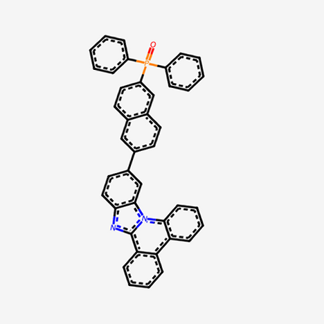 O=P(c1ccccc1)(c1ccccc1)c1ccc2cc(-c3ccc4nc5c6ccccc6c6ccccc6n5c4c3)ccc2c1